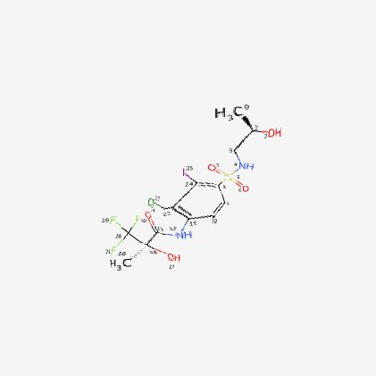 C[C@@H](O)CNS(=O)(=O)c1ccc(NC(=O)[C@@](C)(O)C(F)(F)F)c(Cl)c1I